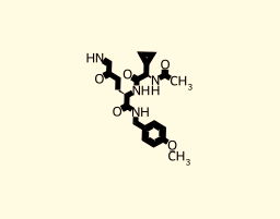 COc1ccc(CNC(=O)[C@H](CCC(=O)C=N)NC(=O)[C@@H](NC(C)=O)C2CC2)cc1